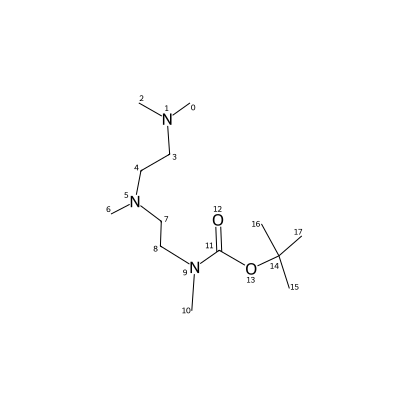 CN(C)CCN(C)CCN(C)C(=O)OC(C)(C)C